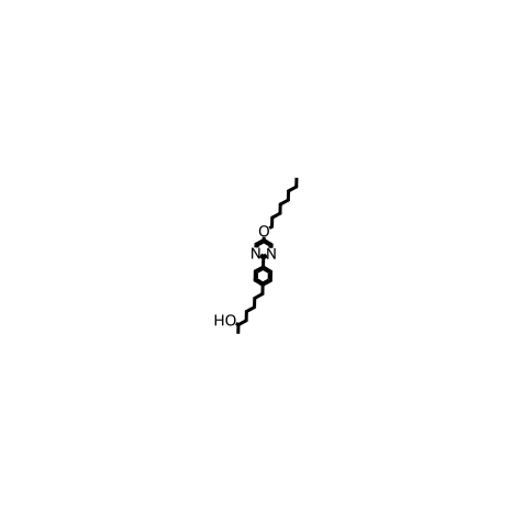 CCCCCCCCOc1cnc(-c2ccc(CCCCCC(C)O)cc2)nc1